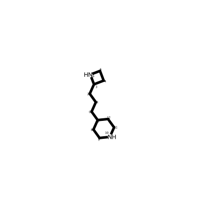 [CH](CCC1CCN1)C1CCNCC1